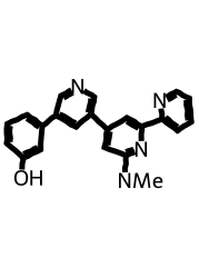 CNc1cc(-c2cncc(-c3cccc(O)c3)c2)cc(-c2ccccn2)n1